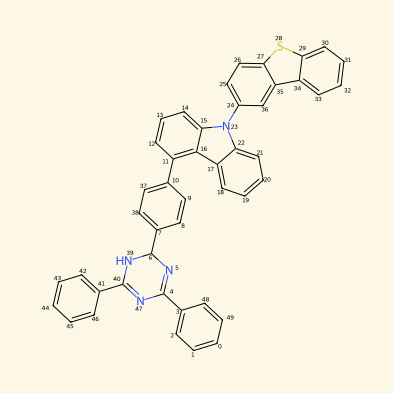 c1ccc(C2=NC(c3ccc(-c4cccc5c4c4ccccc4n5-c4ccc5sc6ccccc6c5c4)cc3)NC(c3ccccc3)=N2)cc1